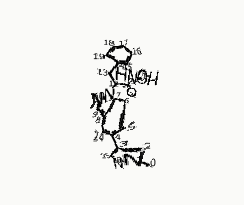 Cn1cc(-c2ccc3c(cnn3C(Cc3ccccc3)C(=O)NO)c2)cn1